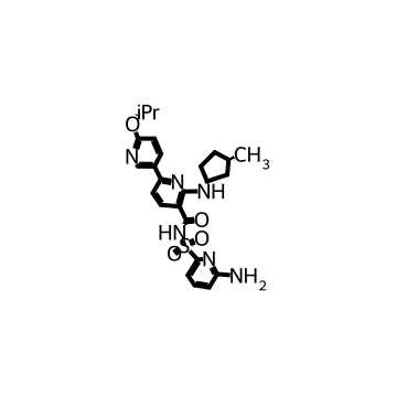 CC(C)Oc1ccc(-c2ccc(C(=O)NS(=O)(=O)c3cccc(N)n3)c(N[C@H]3CC[C@@H](C)C3)n2)cn1